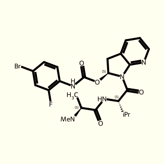 CN[C@@H](C)C(=O)N[C@H](C(=O)N1c2ncccc2C[C@@H]1OC(=O)Nc1ccc(Br)cc1F)C(C)C